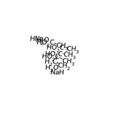 C=C.CC(=O)O.CC(=O)O.CC(=O)O.CC(=O)O.O.O.[NaH].[NaH]